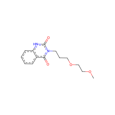 COCCOCCCn1c(=O)[nH]c2ccccc2c1=O